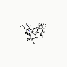 C=C/C=C\C(F)=C(/F)C1=C(c2cc(OC)ccc2Cl)C[C@H](C)C(=O)N1CC